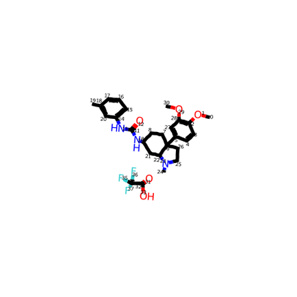 COc1ccc(C23CCC(NC(=O)Nc4cccc(C)c4)CC2N(C)CC3)cc1OC.O=C(O)C(F)(F)F